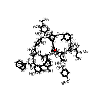 CCCCOc1ccc(S(=O)(=O)NC(=O)C[C@@H]2NC(=O)[C@H](NC(=O)[C@@H](CC(C)C)NC)[C@H](O)c3ccc(c(C)c3)Oc3cc4cc(c3O[C@@H]3O[C@H](CO)[C@@H](O)[C@H](O)[C@H]3O)Oc3ccc(cc3Cl)[C@@H](O)[C@@H]3NC(=O)[C@H](NC(=O)[C@@H]4NC2=O)c2ccc(O)c(c2)-c2c(O)cc(O)cc2[C@@H](C(=O)NC2C4CC5CC(C4)CC2C5)NC3=O)cc1